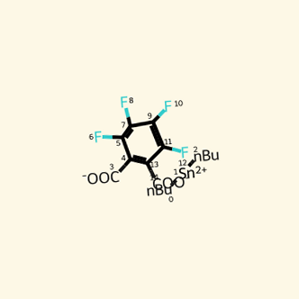 CCC[CH2][Sn+2][CH2]CCC.O=C([O-])c1c(F)c(F)c(F)c(F)c1C(=O)[O-]